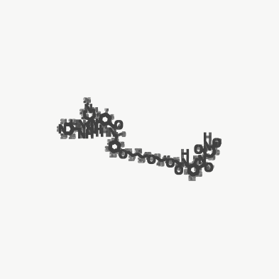 C[C@H](NC(=O)c1cccc(NC2(C(=N)NC(=N)c3ccncc3)CCN(C)CC2)c1)c1cccc(OCCCCCOCCCOCC(=O)Nc2cccc3c2CN(C2CCC(=O)NC2=O)C3=O)c1